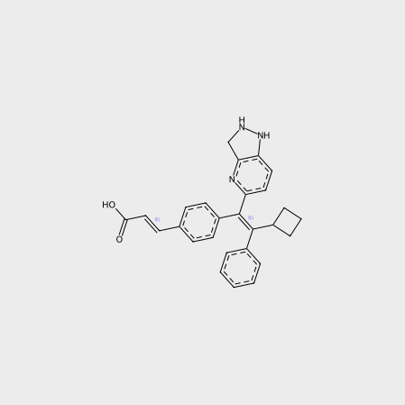 O=C(O)/C=C/c1ccc(/C(=C(\c2ccccc2)C2CCC2)c2ccc3c(n2)CNN3)cc1